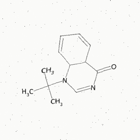 CC(C)(C)N1C=NC(=O)C2C=CC=CC21